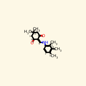 Cc1ccc(NC=C2C(=O)CC(C)(C)CC2=O)c(C)c1C